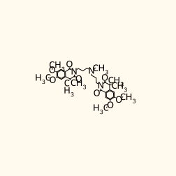 COc1cc2c(cc1OC)C(C)(C)C(=O)N(CCCN(C)CCCN1C(=O)c3cc(OC)c(OC)cc3C(C)(C)C1=O)C2=O